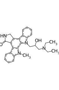 CCN(CC)CC(O)Cn1c2ccccc2c2c3c(c4c5ccccc5n(C)c4c21)C(=O)NC3